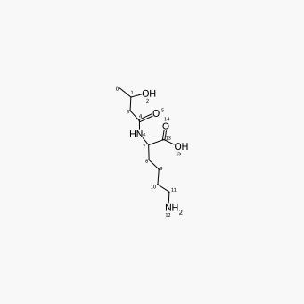 CC(O)CC(=O)NC(CCCCN)C(=O)O